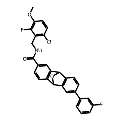 COc1ccc(Cl)c(CNC(=O)c2ccc3c(c2)C2OC3c3cc(-c4cccc(F)c4)ccc32)c1F